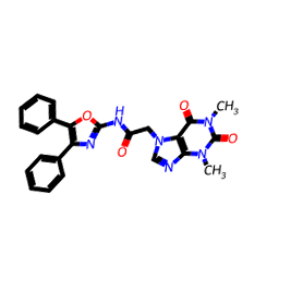 Cn1c(=O)c2c(ncn2CC(=O)Nc2nc(-c3ccccc3)c(-c3ccccc3)o2)n(C)c1=O